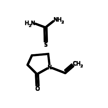 C=CN1CCCC1=O.NC(N)=S